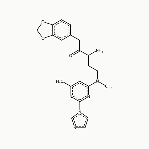 Cc1cc(N(C)CCC(N)C(=O)Cc2ccc3c(c2)OCO3)nc(-n2ccnc2)n1